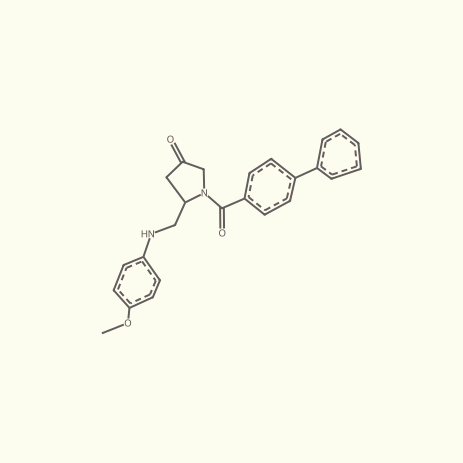 COc1ccc(NCC2CC(=O)CN2C(=O)c2ccc(-c3ccccc3)cc2)cc1